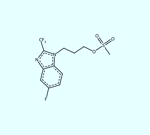 CS(=O)(=O)OCCCn1c(C(F)(F)F)nc2cc(F)ccc21